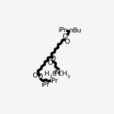 CCCCC(COC(=O)CCCCCCCC(CCCCCCCC(=O)OCC(CCC(C)C)C(C)C)OC(=O)CCCN(C)C)C(C)C